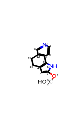 O=C(O)Oc1cc2c([nH]1)-c1ccncc1CC2